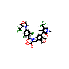 Cc1c(C(F)(F)F)cn(C)c(=O)c1-c1ccc(CC(NC(=O)c2c(F)cc(N3CCOC[C@@H]3C(F)(F)F)cc2F)C(=O)O)c2c1COC2